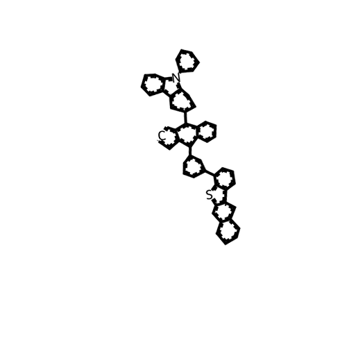 c1ccc(-n2c3ccccc3c3cc(-c4c5ccccc5c(-c5cccc(-c6cccc7c6sc6cc8ccccc8cc67)c5)c5ccccc45)ccc32)cc1